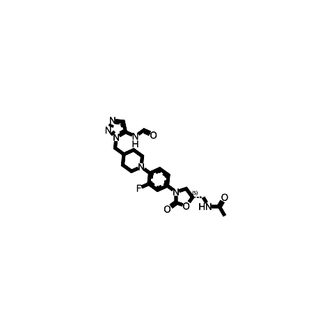 CC(=O)NC[C@H]1CN(c2ccc(N3CCC(Cn4nncc4NC=O)CC3)c(F)c2)C(=O)O1